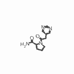 NC(=O)C1CCCN1C(=O)Cc1cncnc1